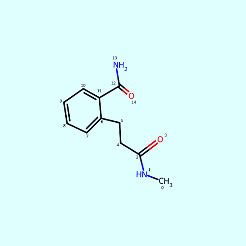 CNC(=O)CCc1ccccc1C(N)=O